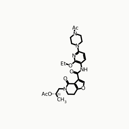 CCOc1nc(N2CCN(C(C)=O)CC2)ccc1NC(=O)c1coc2c1C(=O)N(C[C@H](C)OC(C)=O)CC2